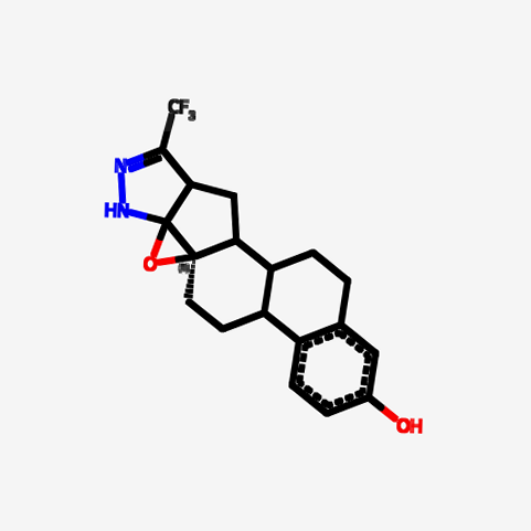 Oc1ccc2c(c1)CCC1C2CC[C@]23OC24NN=C(C(F)(F)F)C4CC13